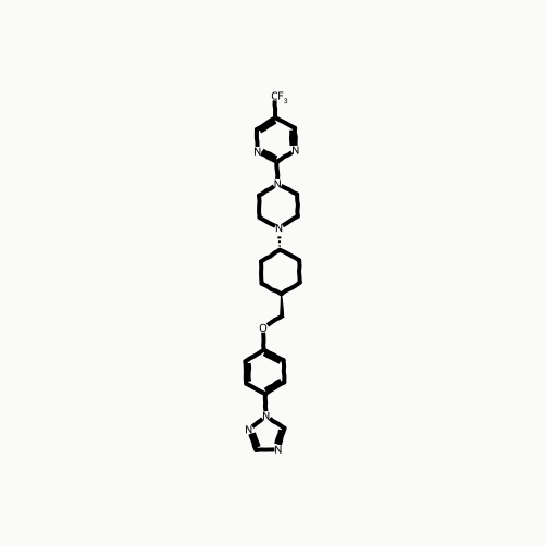 FC(F)(F)c1cnc(N2CCN([C@H]3CC[C@H](COc4ccc(-n5cncn5)cc4)CC3)CC2)nc1